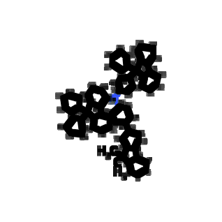 CC1(C)c2ccccc2-c2ccc(-c3ccc(N(c4ccc(C5(c6ccccc6)c6ccccc6-c6ccccc65)cc4)c4cccc5c4-c4ccccc4C5(c4ccccc4)c4ccccc4)cc3)cc21